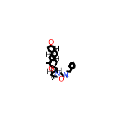 CC1=C2C[C@H]3[C@@H](CC[C@@H]4CC(=O)CC[C@@]43C)[C@@H]2CC[C@]2(C1)C[C@H]1[C@@H](C[C@H](C)CN1CC(=O)N(C)CCc1ccccc1)O2